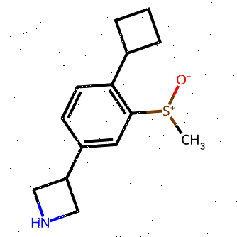 C[S+]([O-])c1cc(C2CNC2)ccc1C1CCC1